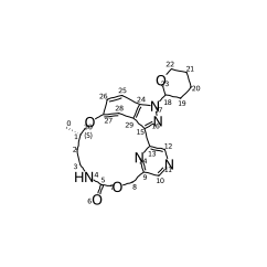 C[C@H]1CCNC(=O)OCc2cncc(n2)-c2nn(C3CCCCO3)c3ccc(cc23)O1